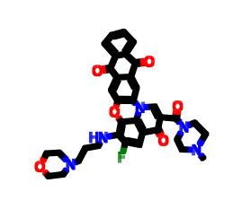 CN1CCN(C(=O)c2cn3c4cc5c(=O)c6ccccc6c(=O)c5cc4oc4c(NCCCN5CCOCC5)c(F)cc(c2=O)c43)CC1